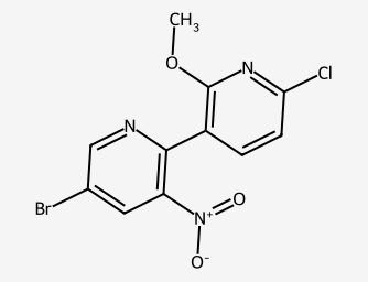 COc1nc(Cl)ccc1-c1ncc(Br)cc1[N+](=O)[O-]